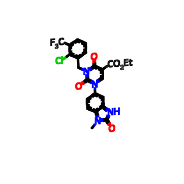 CCOC(=O)c1cn(-c2ccc3c(c2)[nH]c(=O)n3C)c(=O)n(Cc2cccc(C(F)(F)F)c2Cl)c1=O